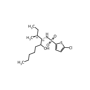 CCCCCC(O)[C@@H](NS(=O)(=O)c1ccc(Cl)s1)[C@@H](C)CC